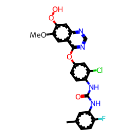 COc1cc2c(Oc3ccc(NC(=O)Nc4cc(C)ccc4F)c(Cl)c3)ncnc2cc1OO